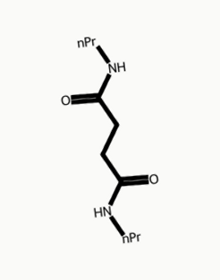 CCCNC(=O)CCC(=O)NCCC